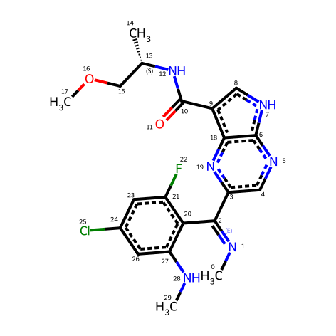 C/N=C(/c1cnc2[nH]cc(C(=O)N[C@@H](C)COC)c2n1)c1c(F)cc(Cl)cc1NC